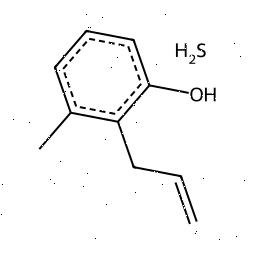 C=CCc1c(C)cccc1O.S